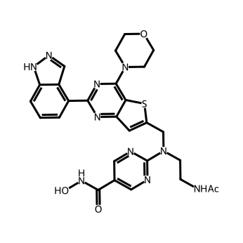 CC(=O)NCCN(Cc1cc2nc(-c3cccc4[nH]ncc34)nc(N3CCOCC3)c2s1)c1ncc(C(=O)NO)cn1